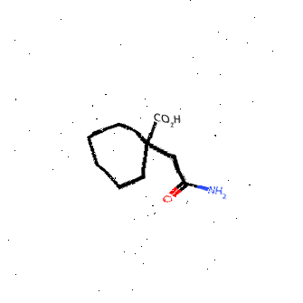 NC(=O)CC1(C(=O)O)CCCCC1